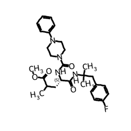 COC(=O)C(C)C[C@H](NC(=O)N1CCN(c2ccccc2)CC1)C(=O)NC(C)(C)Cc1ccc(F)cc1